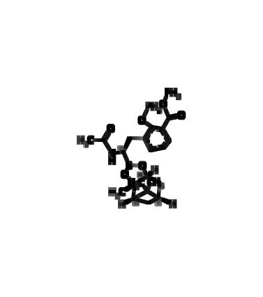 CC(=O)N[C@@H](Cc1cccc(C(=O)OP)c1OP)B1O[C@@H]2C[C@@H]3C[C@@H](C3(C)C)[C@]2(C)O1